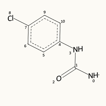 [NH]C(=O)Nc1ccc(Cl)cc1